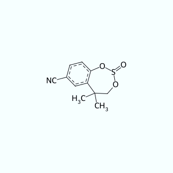 CC1(C)COS(=O)Oc2ccc(C#N)cc21